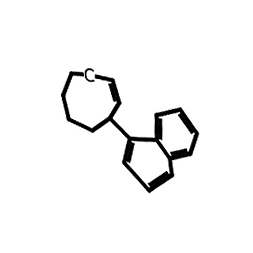 C1=CC(c2cccc3ccccc23)CCCCC1